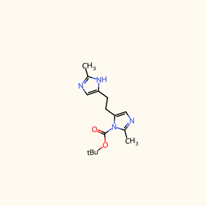 Cc1ncc(CCc2cnc(C)n2C(=O)OC(C)(C)C)[nH]1